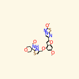 COc1cc(OCc2csc(C3(NC=O)CCOCC3)n2)c2cc(-c3cn4nc(OC)sc4n3)oc2c1